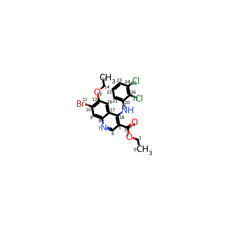 CCOC(=O)c1cnc2cc(Br)c(OCC)cc2c1Nc1cccc(Cl)c1Cl